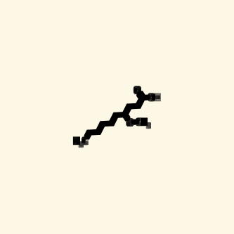 CCCCCCC(CCC(=O)O)OC